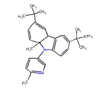 Cc1ccc(N2c3ccc(C(C)(C)C)cc3C3C=C(C(C)(C)C)C=CC32C)cn1